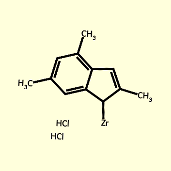 CC1=Cc2c(C)cc(C)cc2[CH]1[Zr].Cl.Cl